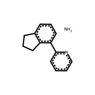 N.c1ccc(-c2cccc3c2CCC3)nc1